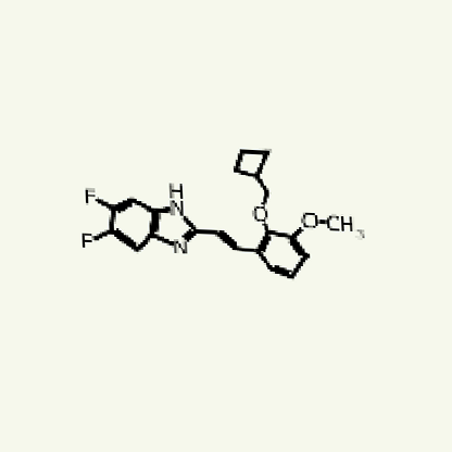 COc1cccc(/C=C/c2nc3cc(F)c(F)cc3[nH]2)c1OCC1CCC1